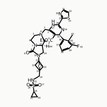 CCOC(=O)C1=C(CN2CCN3C(=O)N(C45CC(CNS(=O)(=O)C6CC6)(C4)C5)C[C@@H]3C2)NC(c2nccs2)=N[C@H]1c1cccc(F)c1C